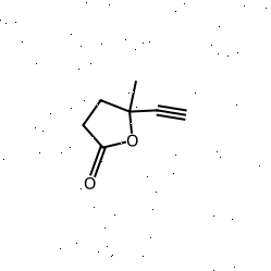 C#CC1(C)CCC(=O)O1